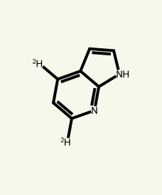 [2H]c1cc([2H])c2cc[nH]c2n1